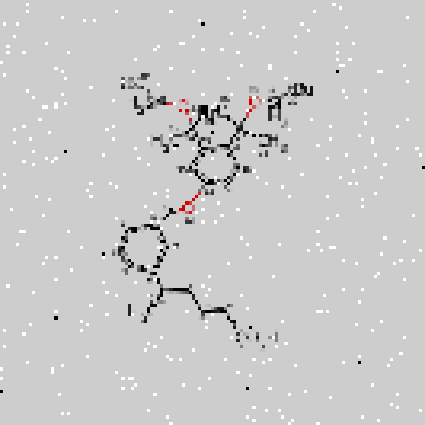 CC(=CC=CC(=O)O)c1cccc(COc2ccc(C(C)(C)O[SiH2]C(C)(C)C)c(C(C)(C)O[SiH2]C(C)(C)C)c2)c1